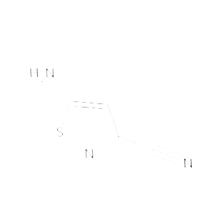 N#Cc1cc(N)sn1